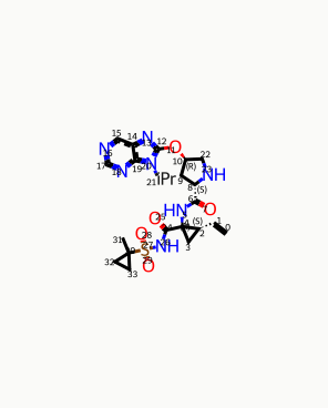 C=C[C@@H]1C[C@]1(NC(=O)[C@@H]1C[C@@H](Oc2nc3cncnc3n2C(C)C)CN1)C(=O)NS(=O)(=O)C1(C)CC1